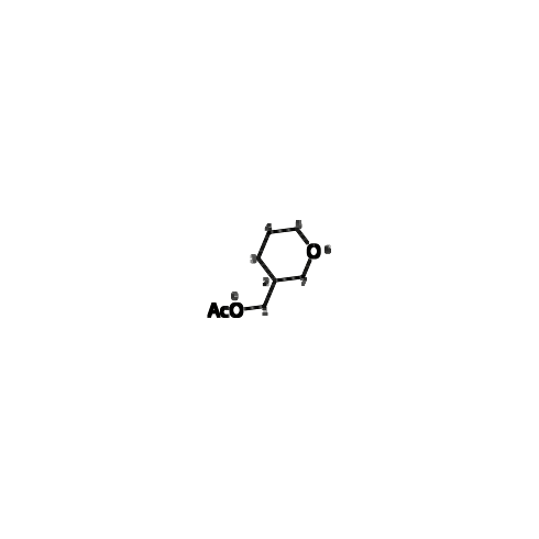 CC(=O)OCC1CCCOC1